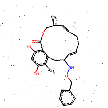 Cc1c(O)cc(O)c2c1CC(NOCc1ccccc1)/C=C/CC/C=C/[C@H](C)COC2=O